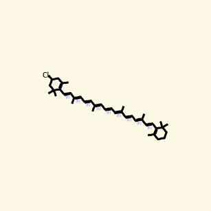 CC1=C(/C=C/C(C)=C/C=C/C(C)=C/C=C/C=C(C)/C=C/C=C(C)/C=C/C2=C(C)CC(Cl)CC2(C)C)C(C)(C)CCC1